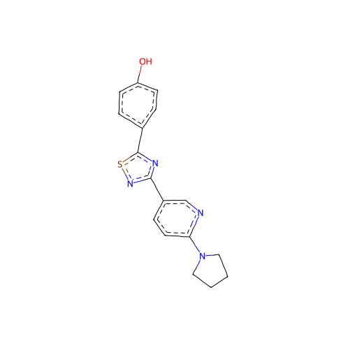 Oc1ccc(-c2nc(-c3ccc(N4CCCC4)nc3)ns2)cc1